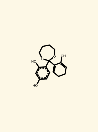 OC1=CCCC=C1C1(c2ccc(O)cc2O)OCCCCO1